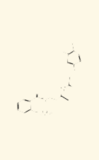 C=C(CCNC(=O)c1ccccc1SC)NC(=O)COc1ccc(C)c(C)c1